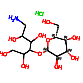 Cl.NCC(O)C(O)C(O[C@@H]1O[C@H](CO)[C@H](O)[C@H](O)[C@H]1O)C(O)CO